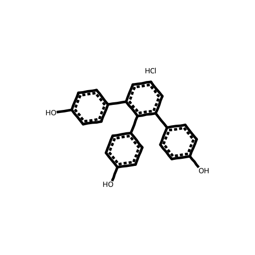 Cl.Oc1ccc(-c2cccc(-c3ccc(O)cc3)c2-c2ccc(O)cc2)cc1